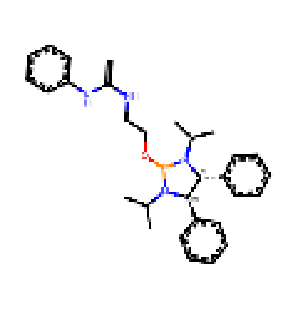 C=C(NCCOP1N(C(C)C)[C@H](c2ccccc2)[C@@H](c2ccccc2)N1C(C)C)Nc1ccccc1